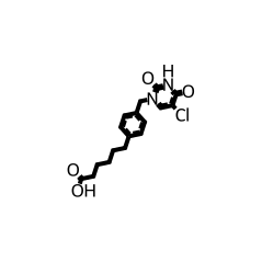 O=C(O)CCCCCc1ccc(Cn2cc(Cl)c(=O)[nH]c2=O)cc1